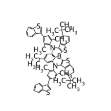 Cc1cc(-c2csc3ccccc23)cc(C)c1N1c2cc(C(C)C)cc3c2B(c2sc4ccc(C(C)(C)C)cc4c21)c1sc2ccc(C(C)(C)C)cc2c1N3c1c(C)cc(-c2csc3ccccc23)cc1C